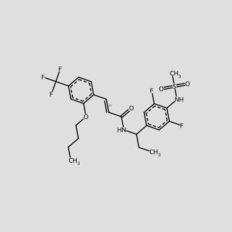 CCCCOc1cc(C(F)(F)F)ccc1/C=C/C(=O)NC(CC)c1cc(F)c(NS(C)(=O)=O)c(F)c1